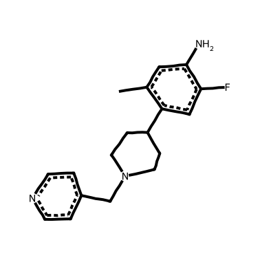 Cc1cc(N)c(F)cc1C1CCN(Cc2ccncc2)CC1